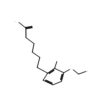 CC(C)CNc1cccc(CCCCCC(=O)C(C)C)c1F